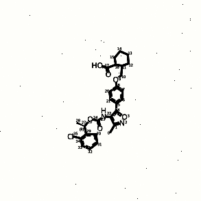 Cc1noc(-c2ccc(OCC3CCCCC3C(=O)O)cc2)c1NC(=O)O[C@H](C)c1ccccc1Cl